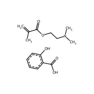 C=C(C)C(=O)OCCN(C)C.O=C(O)c1ccccc1O